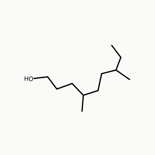 CCC(C)CCC(C)CCCO